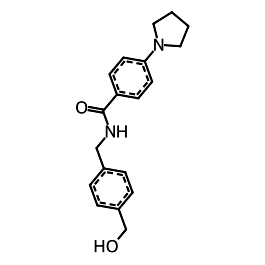 O=C(NCc1ccc(CO)cc1)c1ccc(N2CCCC2)cc1